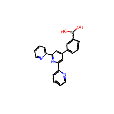 OB(O)c1cccc(-c2cc(-c3ccccn3)nc(-c3ccccn3)c2)c1